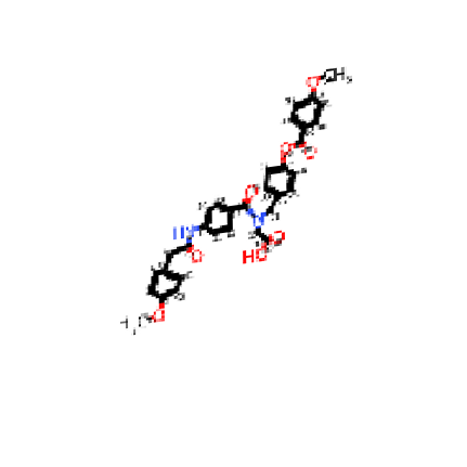 COc1ccc(CC(=O)Nc2ccc(C(=O)N(CC(=O)O)Cc3ccc(OC(=O)c4ccc(OC)cc4)cc3)cc2)cc1